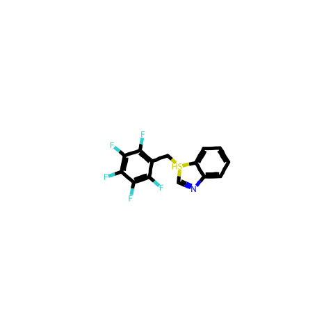 Fc1c(F)c(F)c(C[SH]2C=Nc3ccccc32)c(F)c1F